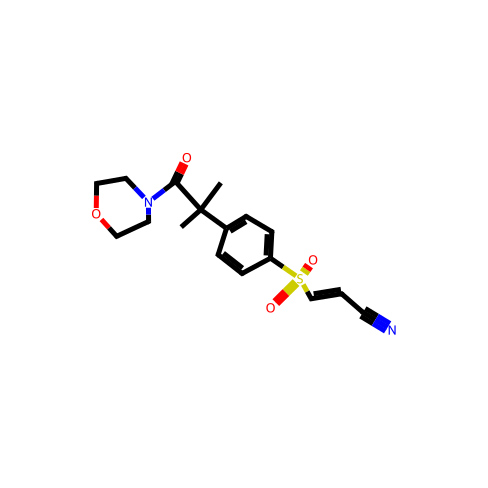 CC(C)(C(=O)N1CCOCC1)c1ccc(S(=O)(=O)C=CC#N)cc1